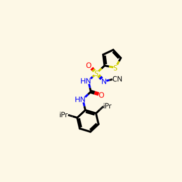 CC(C)c1cccc(C(C)C)c1NC(=O)NS(=O)(=NC#N)c1cccs1